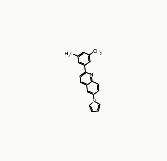 Cc1cc(C)cc(-c2ccc3cc(-n4cccc4)ccc3n2)c1